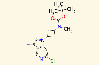 CN(C(=O)OC(C)(C)C)C1CC(n2cc(I)c3cnc(Cl)cc32)C1